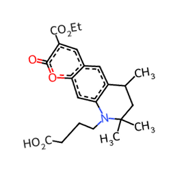 CCOC(=O)c1cc2cc3c(cc2oc1=O)N(CCCC(=O)O)C(C)(C)CC3C